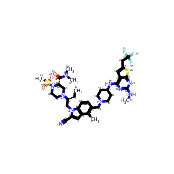 CC[C@@H](Cn1c(C#N)cc2c(C)c(CN3CCC(Nc4nc(NC)nc5sc(CC(F)(F)F)cc45)CC3)ccc21)N1CCN(S(C)(=O)=O)[C@H](C(=O)N(C)C)C1